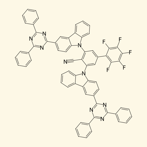 N#Cc1c(-n2c3ccccc3c3cc(-c4nc(-c5ccccc5)nc(-c5ccccc5)n4)ccc32)cc(-c2c(F)c(F)c(F)c(F)c2F)cc1-n1c2ccccc2c2cc(-c3nc(-c4ccccc4)nc(-c4ccccc4)n3)ccc21